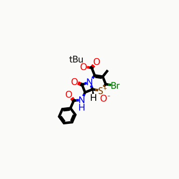 CC1=C(C(=O)OC(C)(C)C)N2C(=O)C(NC(=O)c3ccccc3)[C@H]2[S+]([O-])C1Br